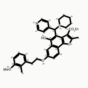 CCOC(=O)c1c(C)oc2c1c(C(c1ccncc1)N1CCCCC1)c(O)c1cc(OCCc3cccc(OC)c3C)ccc12